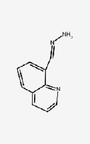 NN=Cc1cccc2cccnc12